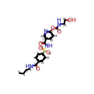 CCCCNC(=O)c1ccc(S(=O)(=O)NC(=O)c2ccc(OC(=O)NCCO)nc2)cc1